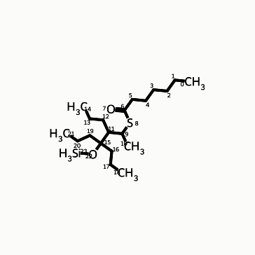 CCCCCCC(=O)SC(C)C(CCC)C(CCC)(CCC)O[SiH3]